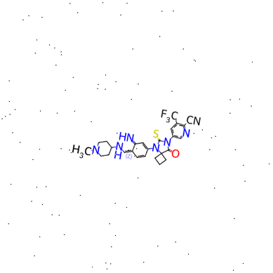 CN1CCC(N/C=C2/C=CC(N3C(=S)N(c4cnc(C#N)c(C(F)(F)F)c4)C(=O)C34CCC4)=CC2=N)CC1